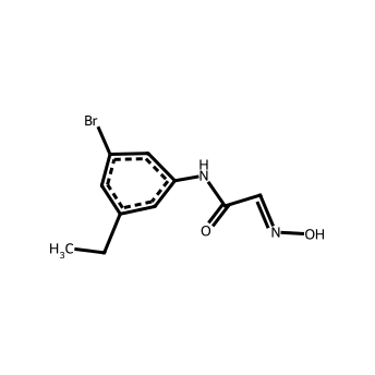 CCc1cc(Br)cc(NC(=O)C=NO)c1